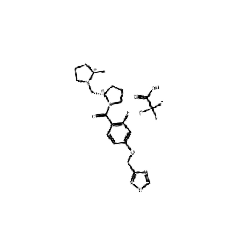 C[C@@H]1CCCN1C[C@@H]1CCCN1C(=O)c1ccc(OCc2ncon2)cc1F.O=C(O)C(F)(F)F